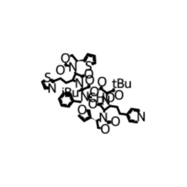 CCC(C)C(C(=O)OC(=O)[C@@H](C(=O)C(C)(C)C)N1C(=O)C(N2C(=O)OC[C@@H]2c2ccoc2)C1CCc1ccncc1)(N(C=O)Cc1ccccc1)N1C(=O)C(N2C(=O)OC[C@H]2c2cccs2)C1CCc1nccs1